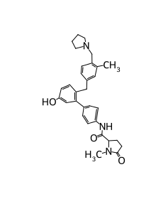 Cc1cc(Cc2ccc(O)cc2-c2ccc(NC(=O)C3CCC(=O)N3C)cc2)ccc1CN1CCCC1